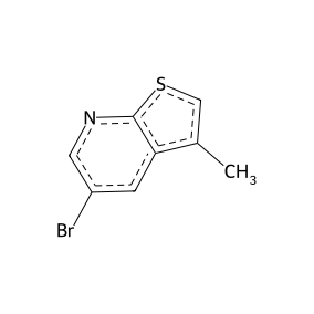 Cc1csc2ncc(Br)cc12